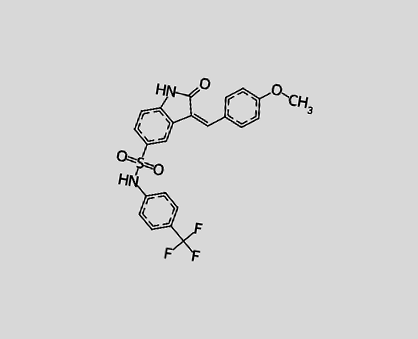 COc1ccc(C=C2C(=O)Nc3ccc(S(=O)(=O)Nc4ccc(C(F)(F)F)cc4)cc32)cc1